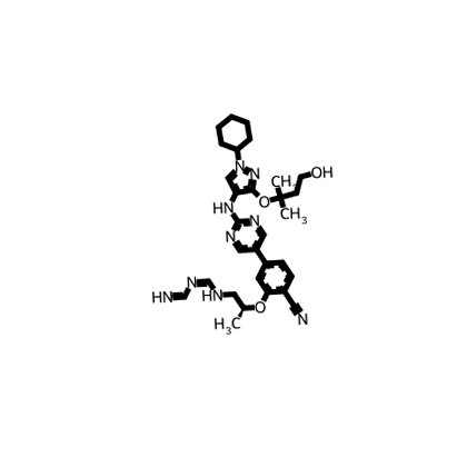 C[C@@H](CN/C=N\C=N)Oc1cc(-c2cnc(Nc3cn(C4CCCCC4)nc3OC(C)(C)CCO)nc2)ccc1C#N